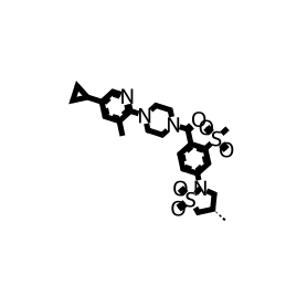 Cc1cc(C2CC2)cnc1N1CCN(C(=O)c2ccc(N3C[C@H](C)CS3(=O)=O)cc2S(C)(=O)=O)CC1